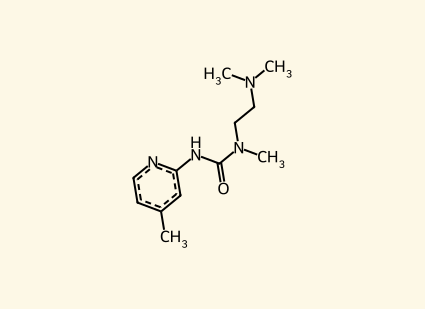 Cc1ccnc(NC(=O)N(C)CCN(C)C)c1